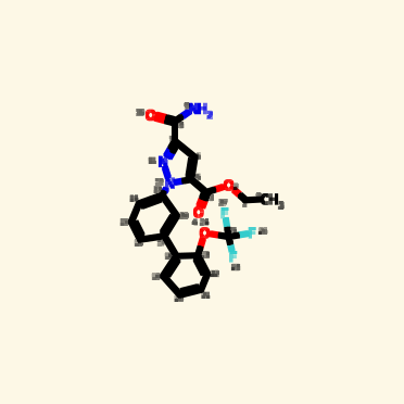 CCOC(=O)c1cc(C(N)=O)nn1-c1cccc(-c2ccccc2OC(F)(F)F)c1